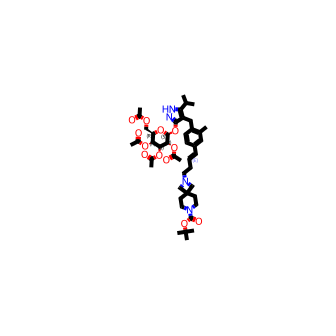 CC(=O)OC[C@H]1O[C@@H](Oc2n[nH]c(C(C)C)c2Cc2ccc(/C=C/CCN3CC4(CCN(C(=O)OC(C)(C)C)CC4)C3)cc2C)[C@H](OC(C)=O)[C@@H](OC(C)=O)[C@@H]1OC(C)=O